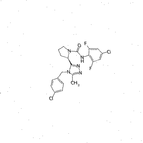 Cc1nnc([C@H]2CCCN2C(=O)Nc2c(F)cc(Cl)cc2F)n1Cc1ccc(Cl)cc1